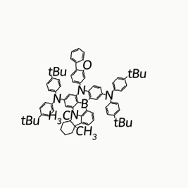 CC(C)(C)c1ccc(N(c2ccc(C(C)(C)C)cc2)c2ccc3c(c2)B2c4cccc5c4N(c4cc(N(c6ccc(C(C)(C)C)cc6)c6ccc(C(C)(C)C)cc6)cc(c42)N3c2ccc3c(c2)oc2ccccc23)C2(C)CCCCC52C)cc1